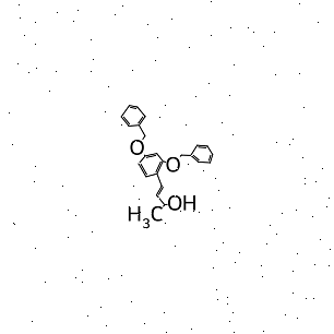 CC(O)/C=C/c1ccc(OCc2ccccc2)cc1OCc1ccccc1